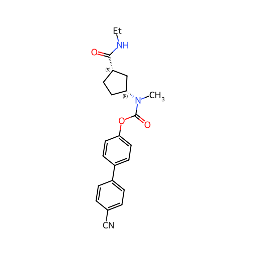 CCNC(=O)[C@H]1CC[C@@H](N(C)C(=O)Oc2ccc(-c3ccc(C#N)cc3)cc2)C1